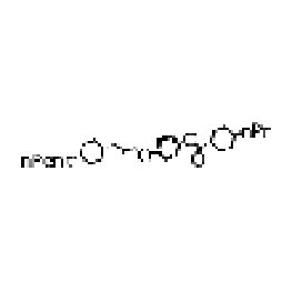 CCCCC[C@H]1CC[C@H](CCCOc2ccc(OC(=O)[C@H]3CC[C@H](CCC)CC3)cc2)CC1